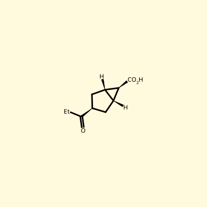 CCC(=O)[C@@H]1C[C@@H]2[C@H](C1)[C@H]2C(=O)O